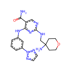 NC(=O)c1cnc(NCC2(N)CCOCC2)nc1Nc1cccc(-n2nccn2)c1